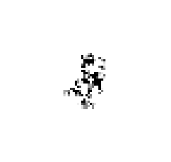 CCCN(CCC)SN1C(=O)N(SN(CCC)CCC)C(C)(C)C1=O